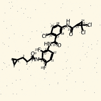 O=C(CCC1CC1)Nc1c(F)ccc(NC(=O)c2cc(NC(=O)C3CC3(Cl)Cl)ccc2Cl)c1F